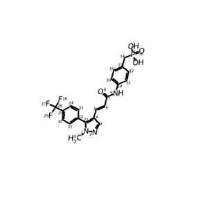 Cn1ncc(/C=C/C(=O)Nc2ccc(CP(=O)(O)O)cc2)c1-c1ccc(C(F)(F)F)cc1